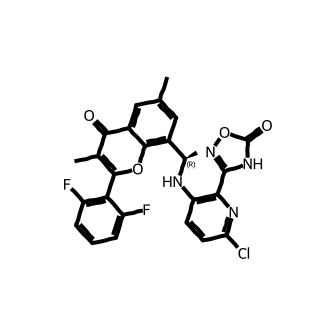 Cc1cc([C@@H](C)Nc2ccc(Cl)nc2-c2noc(=O)[nH]2)c2oc(-c3c(F)cccc3F)c(C)c(=O)c2c1